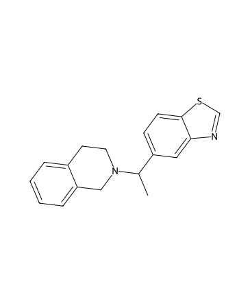 CC(c1ccc2scnc2c1)N1CCc2ccccc2C1